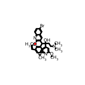 COc1cc(C(O)(CCN(C)C)C(c2cc3cc(Br)ccc3nc2OC)c2cccc3ccoc23)cc(OC)n1